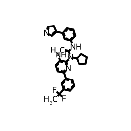 C=C(Nc1cccc(C2=CN=CC2)c1)N(c1nc(-c2cccc(C(C)(F)F)c2)ccc1N)C1CCCC1